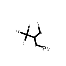 [CH2]CC(CI)C(F)(F)F